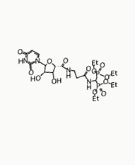 CCOP(=O)(OCC)C(NC(=O)CCNC(=O)[C@H]1OC(n2ccc(=O)[nH]c2=O)[C@H](O)C1O)P(=O)(OCC)OCC